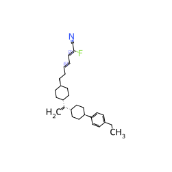 C=C([C@H]1CC[C@H](CC/C=C/C=C(\F)C#N)CC1)[C@H]1CC[C@H](c2ccc(CC)cc2)CC1